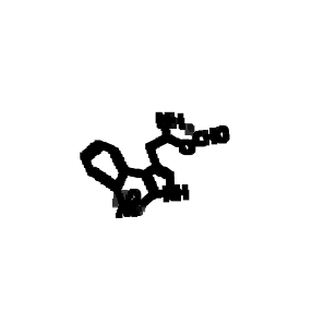 N#Cc1[nH]cc(CC(N)OC=O)c1-c1ccccc1[N+](=O)[O-]